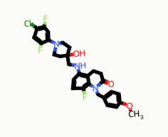 COc1ccc(CN2C(=O)CCc3c(NCC4(O)CCN(c5cc(F)c(Cl)cc5F)CC4)ccc(F)c32)cc1